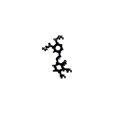 COc1ccc(/C=C/c2nnc(N)n(N)c2=O)cc1OC